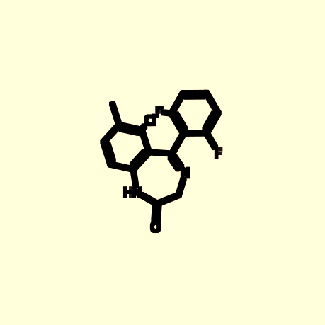 Cc1ccc2c(c1Cl)C(c1c(F)cccc1F)=NCC(=O)N2